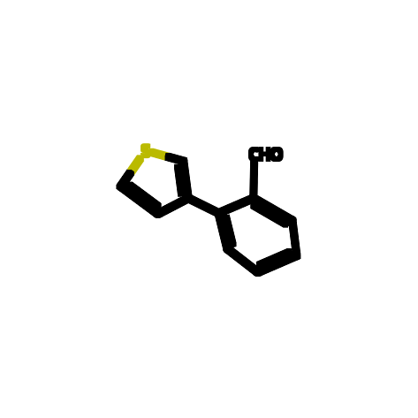 O=Cc1ccccc1-c1ccsc1